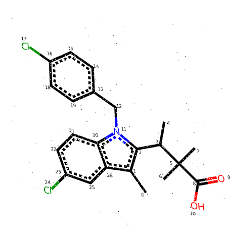 Cc1c(C(C)C(C)(C)C(=O)O)n(Cc2ccc(Cl)cc2)c2ccc(Cl)cc12